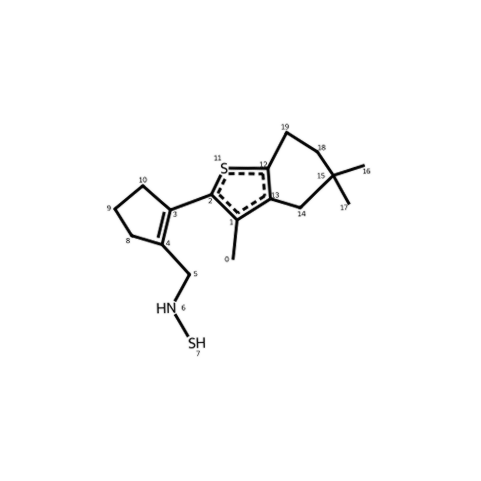 Cc1c(C2=C(CNS)CCC2)sc2c1CC(C)(C)CC2